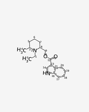 CCN1C(C)CCCC1COC(=O)c1c[nH]c2ccccc12